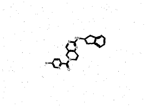 O=C(c1ccc(Br)cn1)N1CCc2nc(NC3Cc4ccccc4C3)ncc2C1